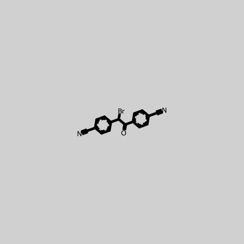 N#Cc1ccc(C(=O)C(Br)c2ccc(C#N)cc2)cc1